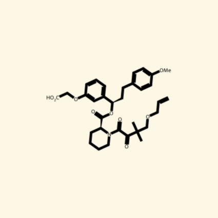 C=CCOCC(C)(C)C(=O)C(=O)N1CCCC[C@H]1C(=O)O[C@H](CCc1ccc(OC)cc1)c1cccc(OCC(=O)O)c1